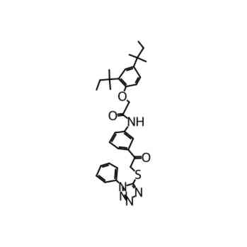 CCC(C)(C)c1ccc(OCC(=O)Nc2cccc(C(=O)CSc3nnnn3-c3ccccc3)c2)c(C(C)(C)CC)c1